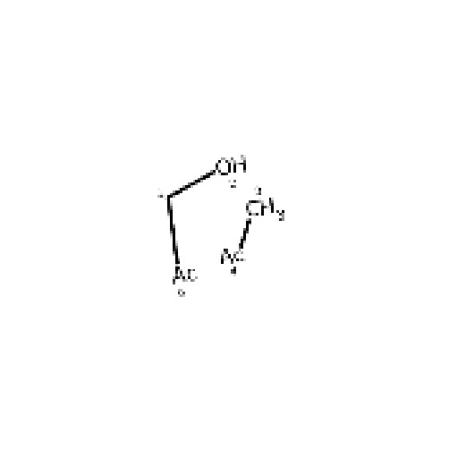 CC(=O)CO.CC(C)=O